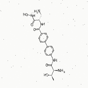 C[C@@H](O)[C@H](N)C(=O)Nc1ccc(-c2ccc(C(=O)N[C@@H](CN)C(=O)NO)cc2)cc1